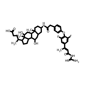 CC(=CC(=O)NC(=N)N)c1cc(F)c(Oc2ccc(CC(=O)NC3CCC4(C)C(C3)CC(O)C3C4CC(O)C4(C)C(C(C)CCC(=O)O)CCC34)cc2)c(F)c1